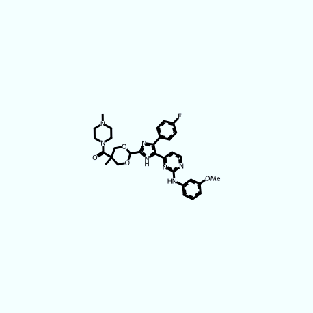 COc1cccc(Nc2nccc(-c3[nH]c(C4OCC(C)(C(=O)N5CCN(C)CC5)CO4)nc3-c3ccc(F)cc3)n2)c1